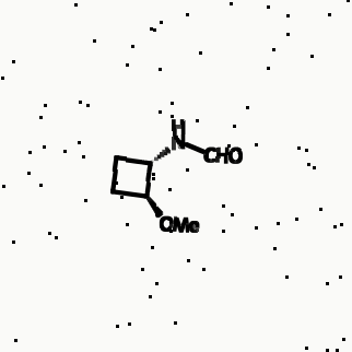 CO[C@H]1CC[C@@H]1NC=O